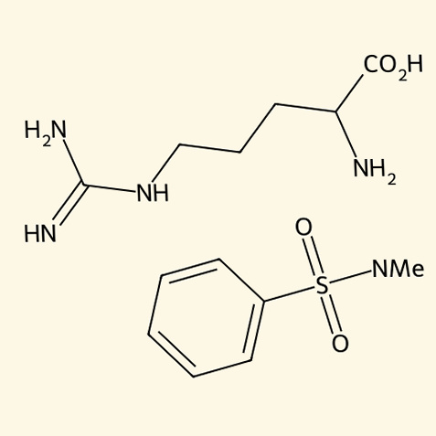 CNS(=O)(=O)c1ccccc1.N=C(N)NCCCC(N)C(=O)O